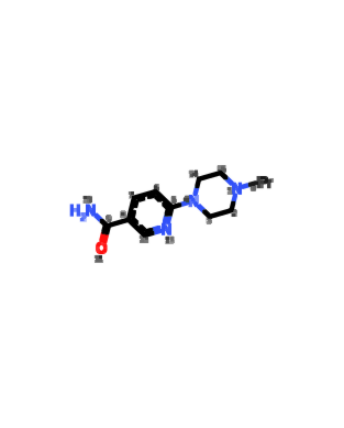 CC(C)N1CCN(c2ccc(C(N)=O)cn2)CC1